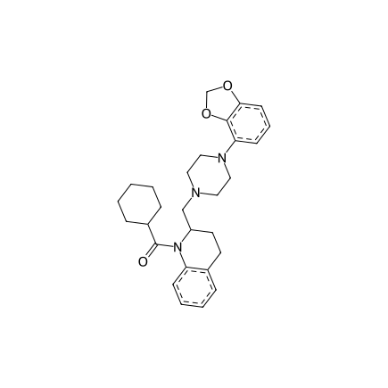 O=C(C1CCCCC1)N1c2ccccc2CCC1CN1CCN(c2cccc3c2OCO3)CC1